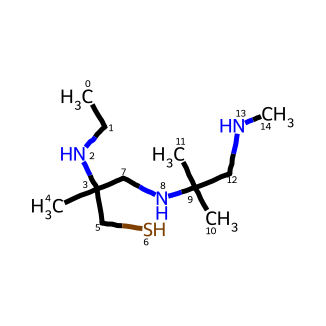 CCNC(C)(CS)CNC(C)(C)CNC